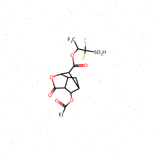 CCC(=O)OC1C2CC3C(OC(=O)C31)C2C(=O)OC(C(F)(F)F)C(F)(F)S(=O)(=O)O